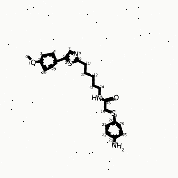 COc1ccc(-c2cnc(CCCCCNC(=O)CSc3ccc(N)cc3)s2)cc1